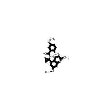 COc1ccc(C)c(C(=O)NC2(c3cc(OC)cc4nc(C)ccc34)CC2)c1